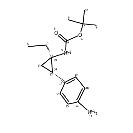 CC[C@@]1(NC(=O)OC(C)(C)C)C[C@H]1c1ccc(N)cc1